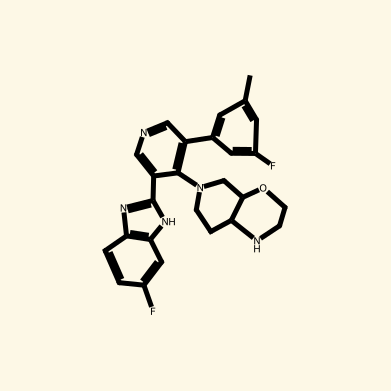 Cc1cc(F)cc(-c2cncc(-c3nc4ccc(F)cc4[nH]3)c2N2CCC3NCCOC3C2)c1